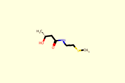 CSCCNC(=O)C[C@@H](C)O